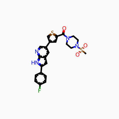 CS(=O)(=O)N1CCN(C(=O)c2cc(-c3cnc4[nH]c(-c5ccc(F)cc5)cc4c3)cs2)CC1